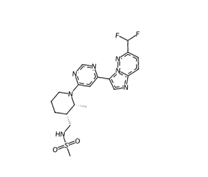 C[C@@H]1[C@H](CNS(C)(=O)=O)CCCN1c1cc(-c2cnc3ccc(C(F)F)nn23)ncn1